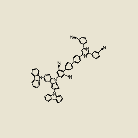 N#Cc1cccc(-c2cc(-c3ccc(-c4ccc(-c5c(C#N)cc(-n6c7ccc(-n8c9ccccc9c9ccccc98)cc7c7cc(-n8c9ccccc9c9ccccc98)ccc76)cc5C#N)cc4)cc3)nc(-c3cccc(C#N)c3)n2)c1